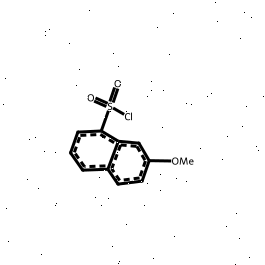 COc1ccc2cccc(S(=O)(=O)Cl)c2c1